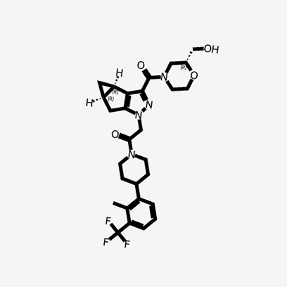 Cc1c(C2CCN(C(=O)Cn3nc(C(=O)N4CCO[C@@H](CO)C4)c4c3C[C@H]3C[C@@H]43)CC2)cccc1C(F)(F)F